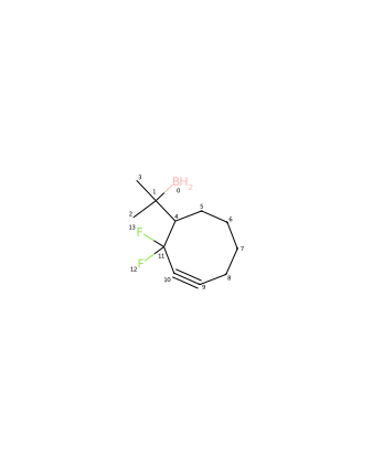 BC(C)(C)C1CCCCC#CC1(F)F